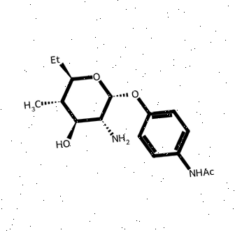 CC[C@H]1O[C@H](Oc2ccc(NC(C)=O)cc2)[C@H](N)[C@@H](O)[C@@H]1C